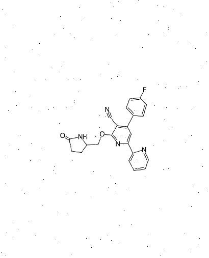 N#Cc1c(-c2ccc(F)cc2)cc(-c2ccccn2)nc1OCC1CCC(=O)N1